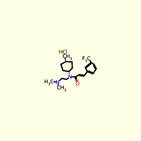 CN(C)CCN(C(=O)C=Cc1cccc(C(F)(F)F)c1)[C@H]1CC[C@H](C)CC1.Cl